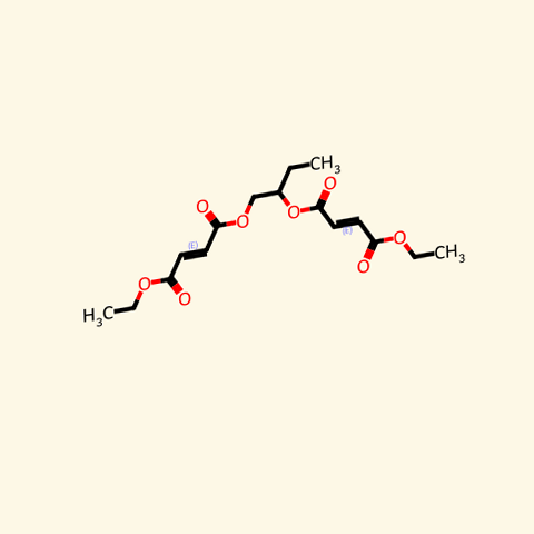 CCOC(=O)/C=C/C(=O)OCC(CC)OC(=O)/C=C/C(=O)OCC